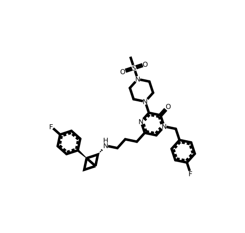 CS(=O)(=O)N1CCN(c2nc(CCCN[C@@H]3C4C[C@@]43c3ccc(F)cc3)cn(Cc3ccc(F)cc3)c2=O)CC1